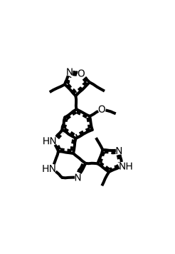 COc1cc2c3c([nH]c2cc1-c1c(C)noc1C)NCN=C3c1c(C)n[nH]c1C